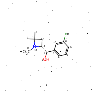 CC1(C)C[C@H](C(O)c2cccc(F)c2)N1C(=O)O